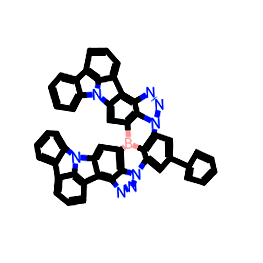 c1ccc(-c2cc3c4c(c2)-n2nnc5c6c7cccc8c9ccccc9n(c6cc(c52)B4c2cc4c(c5cccc6c9ccccc9n4c65)c4nnn-3c24)c87)cc1